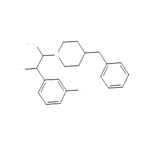 CC(C(O)c1cccc(Cl)c1)N1CCC(Cc2ccccc2)CC1